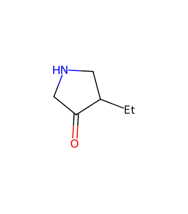 CCC1CNCC1=O